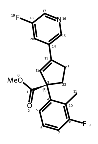 COC(=O)[C@@]1(c2cccc(F)c2C)C=C(c2cncc(F)c2)CC1